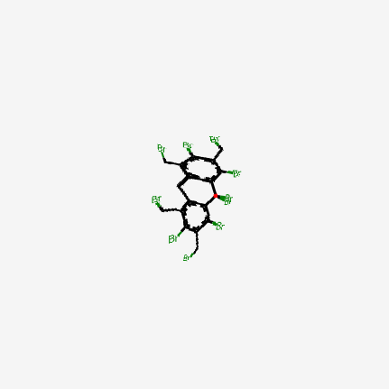 BrCc1c(Br)c(CBr)c(Cc2c(CBr)c(Br)c(CBr)c(Br)c2CBr)c(CBr)c1Br